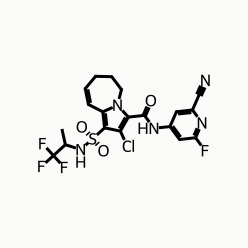 CC(NS(=O)(=O)c1c(Cl)c(C(=O)Nc2cc(F)nc(C#N)c2)n2c1C=CCCC2)C(F)(F)F